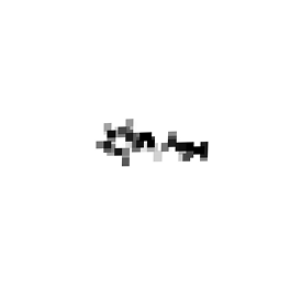 OCCO.c1ccsc1